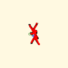 CCCCCCCCCCCC(=O)O[C@H](CCCCCCCCCCC)CC(=O)N[C@@H](COCc1ccccc1)CO[C@@H]1O[C@@H]2COC(C)(C)O[C@H]2[C@H](OC(=O)C[C@@H](CCCCCCCCCCC)OC(=O)CCCCCCCCCCC)[C@H]1NC(=O)OCC(Cl)(Cl)Cl